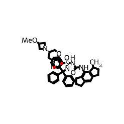 COC1CN([C@@H]2COc3c(S(=O)(=NC(c4ccccc4)(c4ccccc4)c4ccccc4)NC(=O)Nc4c5c(cc6c4C(C)CC6)CCC5)cnn3C2)C1